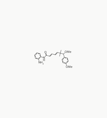 COc1ccc(C(OC)C(C)(C)C=CC=CC(=O)Nc2ccccc2N)cc1